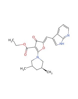 CCOC(=O)C1=C(N2CC(C)C[C@H](C)C2)O/C(=C\c2c[nH]c3ncccc23)C1=O